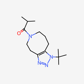 CC(C)C(=O)N1CCCc2c(nnn2C(C)(C)C)CC1